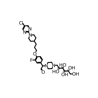 O=CC(c1ccc(OCCCC2CCN(c3ncc(Cl)cn3)CC2)c(F)c1)N1CCN(C[C@H](O)[C@@H](O)[C@H](O)[C@H](O)CO)CC1